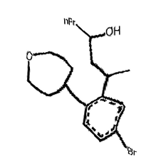 CCCC(O)CC(C)c1cc(Br)ccc1C1CCOCC1